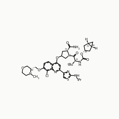 CC(C)Nc1nc(-c2cc(OC3C[C@@H](C(N)=O)N(C(=O)[C@@H](NC(=O)O[C@@H]4C[C@@H]5C[C@@H]5C4)C(C)(C)C)C3)c3ccc(OC[C@H]4COCCN4C)c(Cl)c3n2)cs1